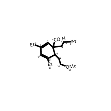 CCC1=CC(CCC(C)C)(C(=O)O)C(CCOC)C(CC)=C1